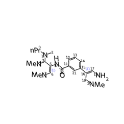 CCCN(C)C(NC)/C(=C\NC)NC(=O)c1cccc(/C(=C/N)CNC)c1